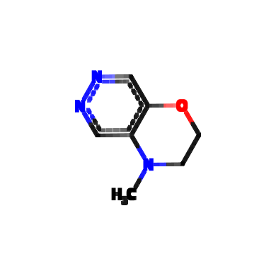 CN1CCOc2cnncc21